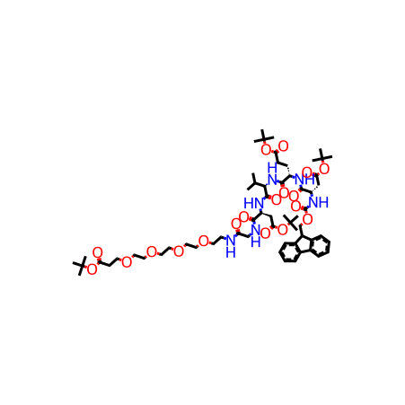 CC(C)[C@H](NC(=O)[C@H](CCC(=O)OC(C)(C)C)NC(=O)[C@H](CC(=O)OC(C)(C)C)NC(=O)OCC1c2ccccc2-c2ccccc21)C(=O)N[C@@H](CC(=O)OC(C)(C)C)C(=O)NCC(=O)NCCOCCOCCOCCOCCC(=O)OC(C)(C)C